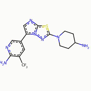 Nc1ncc(-c2cnc3sc(N4CCC(N)CC4)nn23)cc1C(F)(F)F